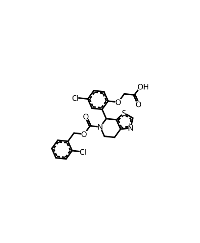 O=C(O)COc1ccc(Cl)cc1C1c2scnc2CCN1C(=O)OCc1ccccc1Cl